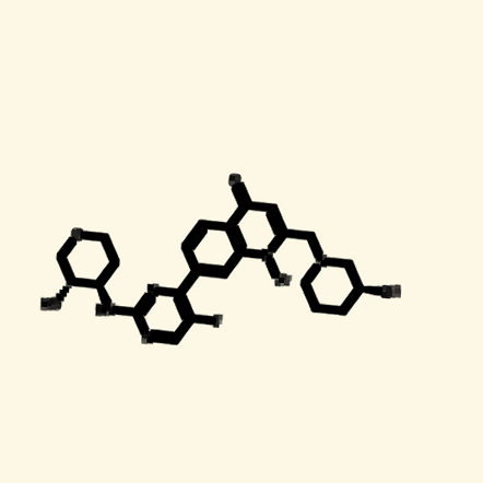 CC(C)n1c(CN2CCC[C@H](O)C2)cc(=O)c2ccc(-c3nc(N[C@@H]4CCOC[C@H]4O)ncc3F)cc21